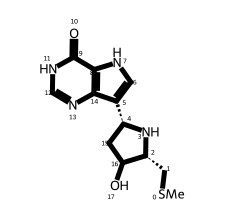 CSC[C@H]1N[C@@H](c2c[nH]c3c(=O)[nH]cnc23)CC1O